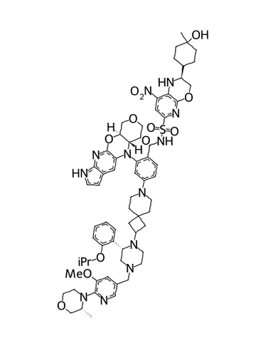 COc1cc(CN2CCN(C3CC4(CCN(c5ccc(C(=O)NS(=O)(=O)c6cc([N+](=O)[O-])c7c(n6)OC[C@H](C6CCC(C)(O)CC6)N7)c(N6c7cc8cc[nH]c8nc7O[C@H]7COCC[C@@H]76)c5)CC4)C3)[C@@H](c3ccccc3OC(C)C)C2)cnc1N1CCOC[C@H]1C